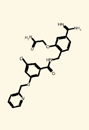 N=C(N)c1ccc(CNC(=O)c2cc(Cl)cc(OCc3ccccn3)c2)c(OCC(N)=O)c1